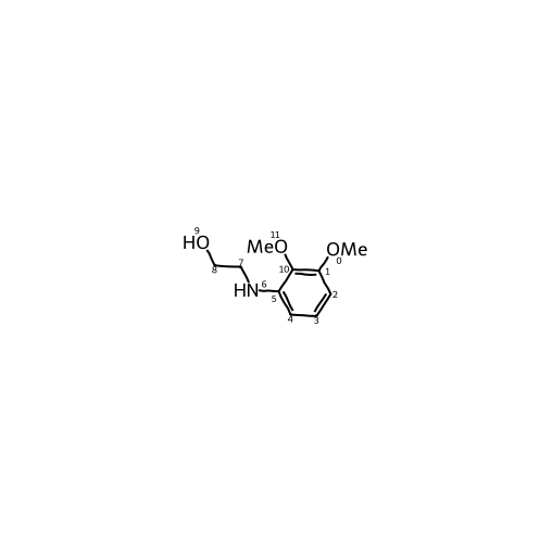 COc1cccc(NCCO)c1OC